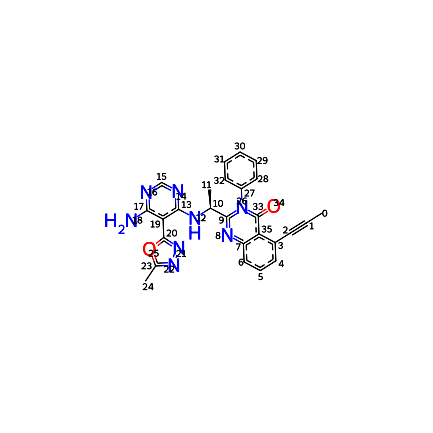 CC#Cc1cccc2nc([C@H](C)Nc3ncnc(N)c3-c3nnc(C)o3)n(-c3ccccc3)c(=O)c12